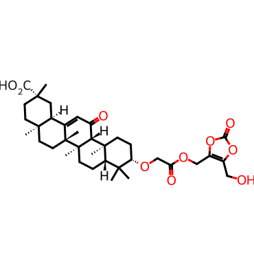 CC1(C)[C@@H](OCC(=O)OCc2oc(=O)oc2CO)CC[C@]2(C)[C@H]3C(=O)C=C4[C@@H]5C[C@@](C)(C(=O)O)CC[C@]5(C)CC[C@@]4(C)[C@]3(C)CC[C@@H]12